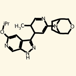 CC(C)Oc1cc2c(C3C=C(N4C5CCC4COC5)N=CC3C)n[nH]c2cn1